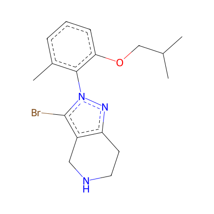 Cc1cccc(OCC(C)C)c1-n1nc2c(c1Br)CNCC2